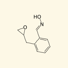 ON=Cc1ccccc1CC1CO1